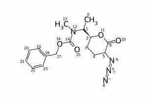 CC([C@@H]1CCC(N=[N+]=[N-])C(=O)O1)N(C)C(=O)OCc1ccccc1